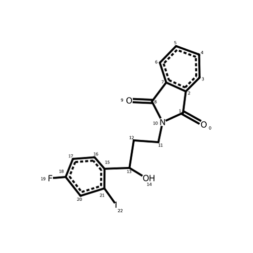 O=C1c2ccccc2C(=O)N1CCC(O)c1ccc(F)cc1I